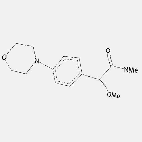 CNC(=O)C(OC)c1ccc(N2CCOCC2)cc1